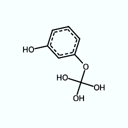 Oc1cccc(OC(O)(O)O)c1